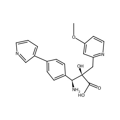 COc1ccnc(C[C@](O)(C(=O)O)[C@@H](N)c2ccc(-c3cccnc3)cc2)c1